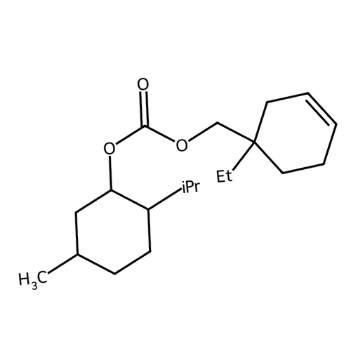 CCC1(COC(=O)OC2CC(C)CCC2C(C)C)CC=CCC1